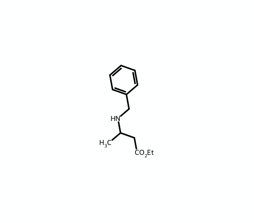 CCOC(=O)CC(C)NCc1ccccc1